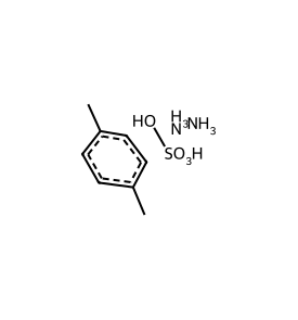 Cc1ccc(C)cc1.N.N.O=S(=O)(O)O